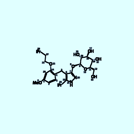 COc1ccc(Cc2c(O[C@@H]3O[C@H](CO)[C@@H](O)[C@H](O)[C@H]3O)n[nH]c2C(C)C)c(OCCC(C)C)c1